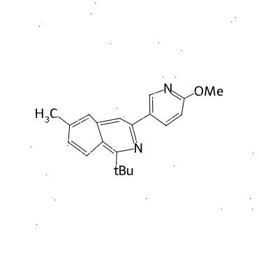 COc1ccc(-c2cc3cc(C)ccc3c(C(C)(C)C)n2)cn1